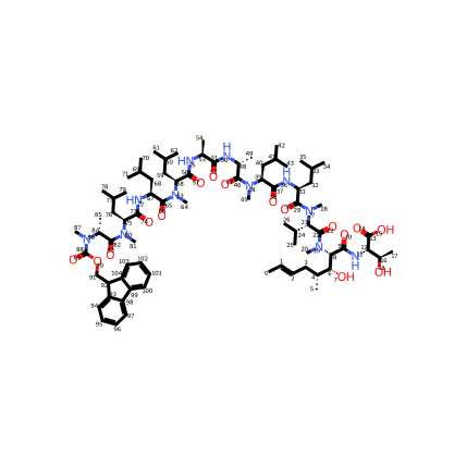 CC=CC[C@@H](C)[C@@H](O)[C@@H](C(=O)N[C@H](C(=O)O)[C@@H](C)O)N(C)C(=O)[C@H](C(C)C)N(C)C(=O)[C@H](CC(C)C)NC(=O)[C@H](CC(C)C)N(C)C(=O)[C@@H](C)NC(=O)[C@H](C)NC(=O)[C@H](CC(C)C)N(C)C(=O)[C@H](CC(C)C)NC(=O)[C@H](CC(C)C)N(C)C(=O)[C@@H](C)N(C)C(=O)OCC1c2ccccc2-c2ccccc21